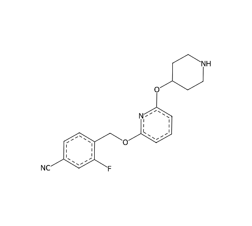 N#Cc1ccc(COc2cccc(OC3CCNCC3)n2)c(F)c1